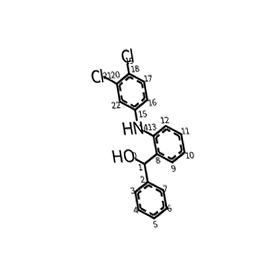 OC(c1ccccc1)c1ccccc1Nc1ccc(Cl)c(Cl)c1